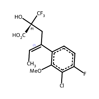 C/C=C(/C[C@@](O)(C(=O)O)C(F)(F)F)c1ccc(F)c(Cl)c1OC